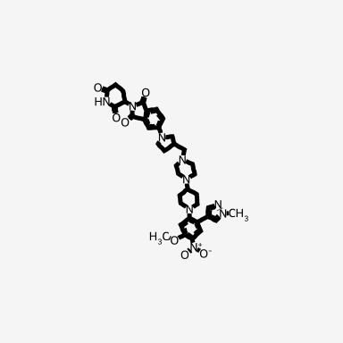 COc1cc(N2CCC(N3CCN(CC4CCN(c5ccc6c(c5)C(=O)N(C5CCC(=O)NC5=O)C6=O)C4)CC3)CC2)c(-c2cnn(C)c2)cc1[N+](=O)[O-]